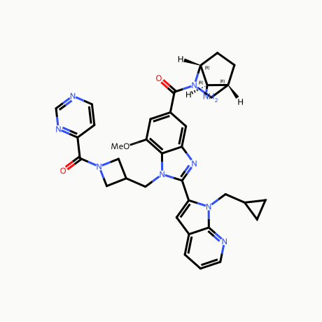 COc1cc(C(=O)N2C[C@H]3CC[C@@H]2[C@@H]3N)cc2nc(-c3cc4cccnc4n3CC3CC3)n(CC3CN(C(=O)c4ccncn4)C3)c12